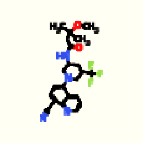 COC(C)(C)CC(=O)NC1CC(C(F)(F)F)CN(c2ccc(C#N)c3ncccc23)C1